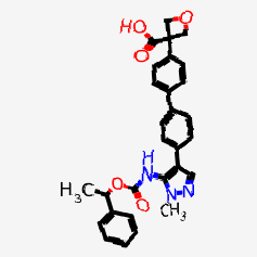 CC(OC(=O)Nc1c(-c2ccc(-c3ccc(C4(C(=O)O)COC4)cc3)cc2)cnn1C)c1ccccc1